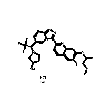 COCC(C)Oc1cc2nc(-c3nnc4ccc([C@@H](N5CCC(N)C5)C(F)(F)F)cn34)ccc2cc1F.Cl.Cl